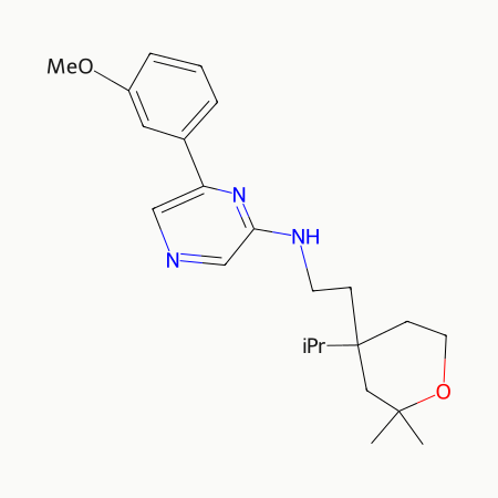 COc1cccc(-c2cncc(NCCC3(C(C)C)CCOC(C)(C)C3)n2)c1